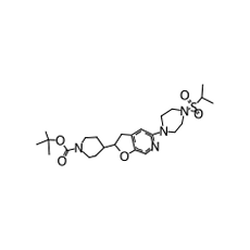 CC(C)S(=O)(=O)N1CCN(c2cc3c(cn2)OC(C2CCN(C(=O)OC(C)(C)C)CC2)C3)CC1